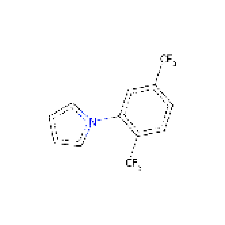 FC(F)(F)c1ccc(C(F)(F)F)c(-n2cccc2)c1